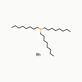 CCCCCCCCP(CCCCCCCC)CCCCCCCC.[Rh]